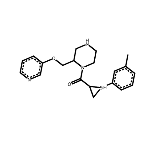 Cc1cccc([SiH]2CC2C(=O)N2CCNCC2COc2cccnc2)c1